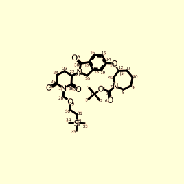 CC(C)(C)OC(=O)N1CCCC[C@H](Oc2ccc3c(c2)CN(C2CCC(=O)N(COCC[Si](C)(C)C)C2=O)C3=O)C1